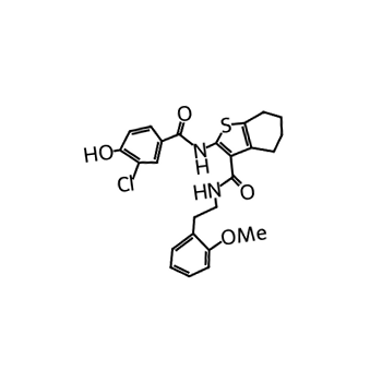 COc1ccccc1CCNC(=O)c1c(NC(=O)c2ccc(O)c(Cl)c2)sc2c1CCCC2